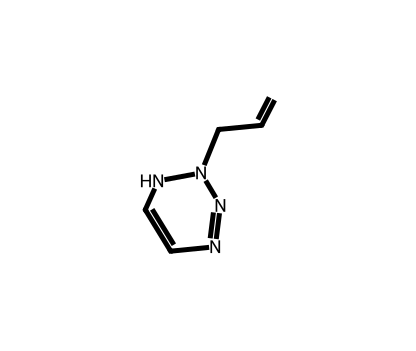 C=CCN1N=NC=CN1